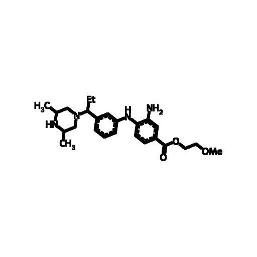 CCC(c1cccc(Nc2ccc(C(=O)OCCOC)cc2N)c1)N1CC(C)NC(C)C1